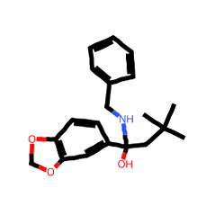 CC(C)(C)CC(O)(NCc1ccccc1)c1ccc2c(c1)OCO2